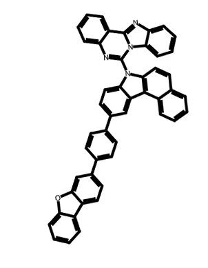 c1ccc2c(c1)ccc1c2c2cc(-c3ccc(-c4ccc5c(c4)oc4ccccc45)cc3)ccc2n1-c1nc2ccccc2c2nc3ccccc3n12